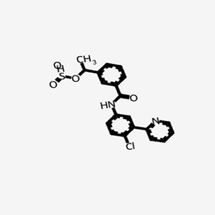 CC(O[SH](=O)=O)c1cccc(C(=O)Nc2ccc(Cl)c(-c3ccccn3)c2)c1